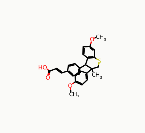 COc1ccc(C2(C)CSc3cc(OC)ccc3C2c2ccc(C=CC(=O)O)cc2)cc1